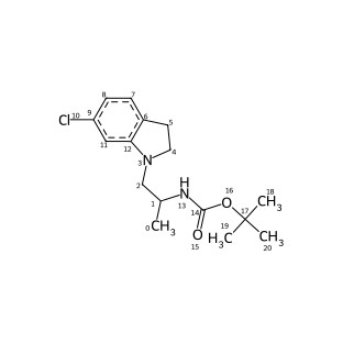 CC(CN1CCc2ccc(Cl)cc21)NC(=O)OC(C)(C)C